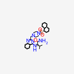 CC(C)[C@H](Nc1nc(CN2CCN(S(=O)(=O)c3cccc4ccccc34)CC2)nc2ccccc12)C(N)=O